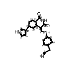 N#CCc1ccc(NC=C2C(=O)NC(=O)c3ccc(-c4cc[nH]c4)cc32)cc1